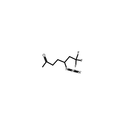 CC(=O)CCC(CC(F)(F)F)N=[N+]=[N-]